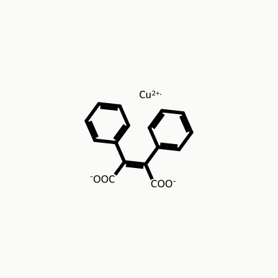 O=C([O-])C(=C(C(=O)[O-])c1ccccc1)c1ccccc1.[Cu+2]